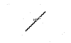 CCCCCCCCCCCCCBCCSCCCCCCC